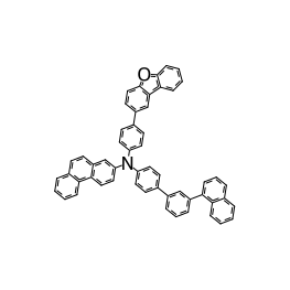 c1cc(-c2ccc(N(c3ccc(-c4ccc5oc6ccccc6c5c4)cc3)c3ccc4c(ccc5ccccc54)c3)cc2)cc(-c2cccc3ccccc23)c1